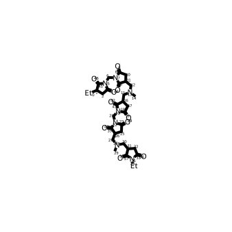 CCC1CC(=O)N(CN2C(=O)CC(CN(C)CC3CC(=O)N(CN4C(=O)CC(CN(C)CC5CC(=O)N(CC)C5=O)C4=O)C3=O)C2=O)C1=O